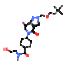 CN(CCO)C(=O)C1CCC(n2cc(I)c3nn(COCC[Si](C)(C)C)cc3c2=O)CC1